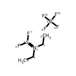 CC[N+](CC)=S(F)F.F[B-](F)(F)F